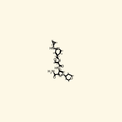 NC(=O)c1nn(C2CCOCC2)cc1NC(=O)c1coc(-c2ccnc(NC3CC3)c2)n1